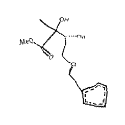 COC(=O)C(C)(O)[C@H](O)COCc1ccccc1